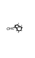 O=[C]c1ccc2cccccc1-2